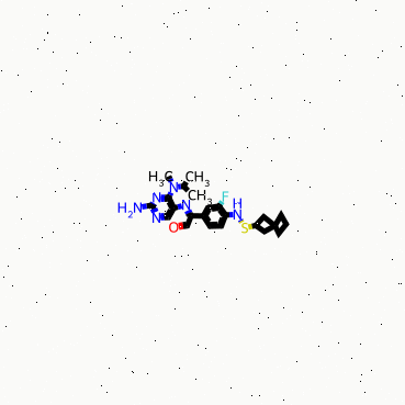 CC(C)N(C)c1nc(N)ncc1/N=C(\C=O)c1ccc(NSC2CC3(CCC3)C2)c(F)c1